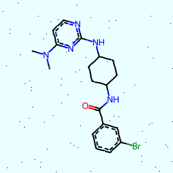 CN(C)c1ccnc(NC2CCC(NC(=O)c3cccc(Br)c3)CC2)n1